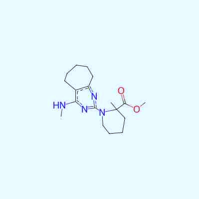 CNc1nc(N2CCCCC2(C)C(=O)OC)nc2c1CCCCC2